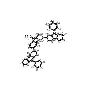 Cn1c2ccc(-c3ccc4c(c3)c3ccccc3n4-c3ccccc3)cc2c2cc(-c3ccc4c5ccccc5n(-c5ccccc5)c4c3)ccc21